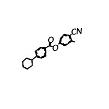 Cc1cc(OC(=O)c2ccc(C3CCCCC3)cc2)ccc1C#N